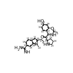 CC(=O)N[C@@H](C(=O)[C@@]1(CCc2cc3ccc(C(=N)N)cc3n2C)CCCN1)c1ccc(O)cc1